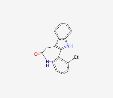 CCc1cccc2c1-c1[nH]c3ccccc3c1CC(=O)N2